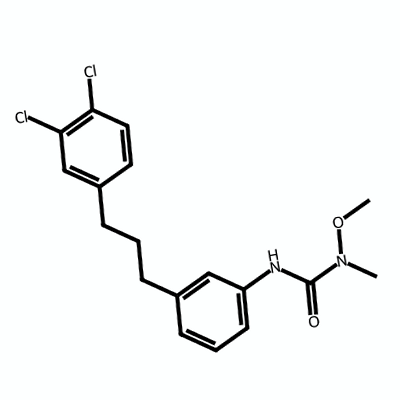 CON(C)C(=O)Nc1cccc(CCCc2ccc(Cl)c(Cl)c2)c1